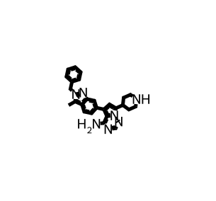 Cc1c2ccc(-c3cc(C4CCNCC4)n4ncnc(N)c34)cc2nn1Cc1ccccc1